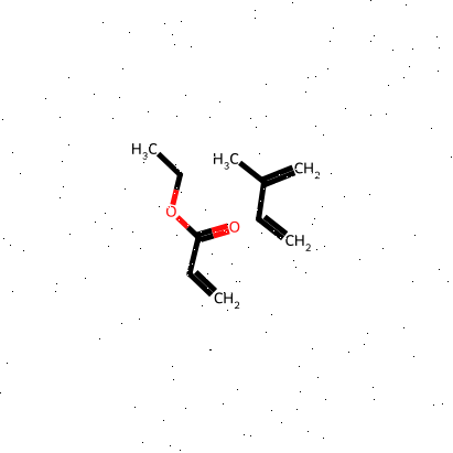 C=CC(=C)C.C=CC(=O)OCC